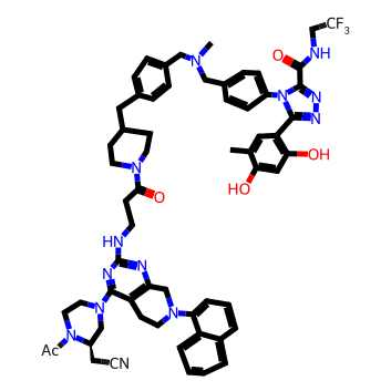 CC(=O)N1CCN(c2nc(NCCC(=O)N3CCC(Cc4ccc(CN(C)Cc5ccc(-n6c(C(=O)NCC(F)(F)F)nnc6-c6cc(C)c(O)cc6O)cc5)cc4)CC3)nc3c2CCN(c2cccc4ccccc24)C3)C[C@H]1CC#N